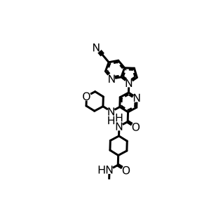 CNC(=O)C1CCC(NC(=O)c2cnc(-n3ccc4cc(C#N)cnc43)cc2NC2CCOCC2)CC1